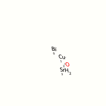 [Bi].[Cu].[O].[SrH2]